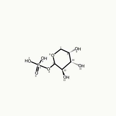 O=P(O)(O)OC1OC[C@H](O)[C@H](O)[C@H]1O